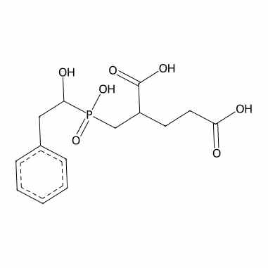 O=C(O)CCC(CP(=O)(O)C(O)Cc1ccccc1)C(=O)O